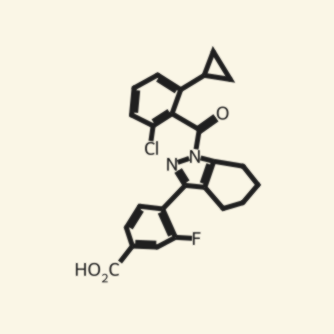 O=C(O)c1ccc(-c2nn(C(=O)c3c(Cl)cccc3C3CC3)c3c2CCCC3)c(F)c1